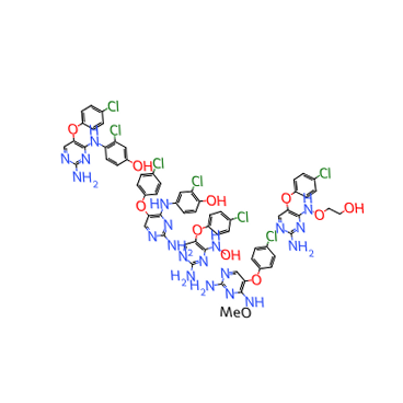 CONc1nc(N)ncc1Oc1ccc(Cl)cc1.Nc1ncc(Oc2ccc(Cl)cc2)c(NO)n1.Nc1ncc(Oc2ccc(Cl)cc2)c(NOCCO)n1.Nc1ncc(Oc2ccc(Cl)cc2)c(Nc2ccc(O)c(Cl)c2)n1.Nc1ncc(Oc2ccc(Cl)cc2)c(Nc2ccc(O)cc2Cl)n1